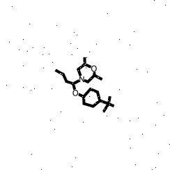 CCCC(OC1CCC(C(C)(C)C)CC1)N1CC(C)OC(C)C1